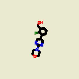 OCc1cccc(-c2cnc(N3CCOCC3)nc2)c1F